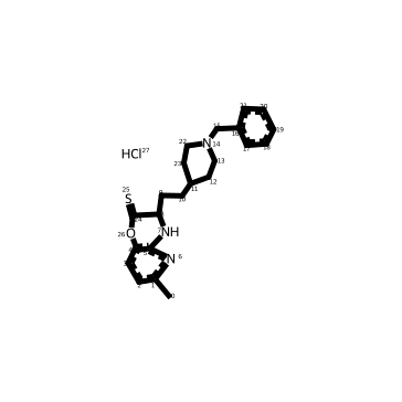 Cc1ccc2c(n1)NC(CCC1CCN(Cc3ccccc3)CC1)C(=S)O2.Cl